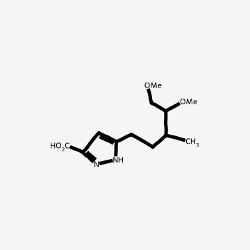 COCC(OC)C(C)CCc1cc(C(=O)O)n[nH]1